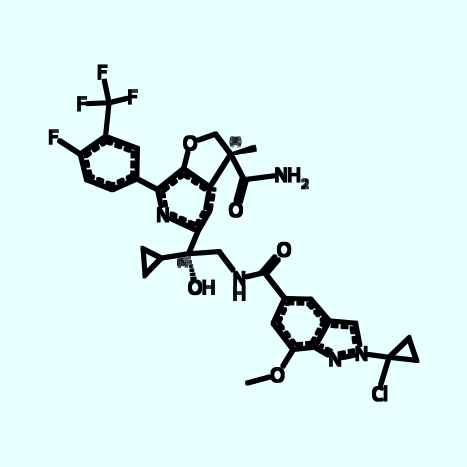 COc1cc(C(=O)NC[C@](O)(c2cc3c(c(-c4ccc(F)c(C(F)(F)F)c4)n2)OC[C@]3(C)C(N)=O)C2CC2)cc2cn(C3(Cl)CC3)nc12